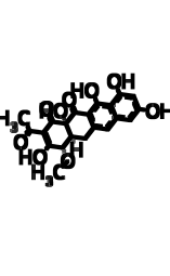 CO[C@@H]1C(O)=C(C(C)=O)C(=O)[C@@]2(O)C(=O)c3c(cc4cc(O)cc(O)c4c3O)C[C@@H]12